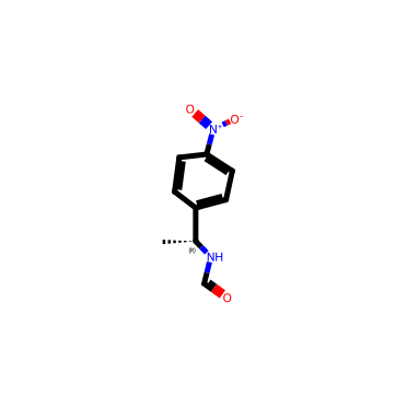 C[C@@H](NC=O)c1ccc([N+](=O)[O-])cc1